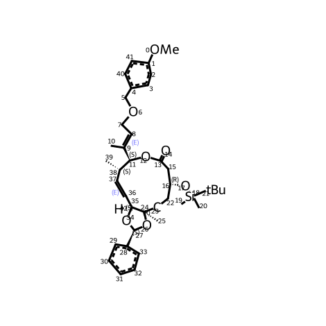 COc1ccc(COC/C=C(\C)[C@H]2OC(=O)C[C@H](O[Si](C)(C)C(C)(C)C)CC[C@@]3(C)O[C@@H](c4ccccc4)O[C@H]3/C=C/[C@@H]2C)cc1